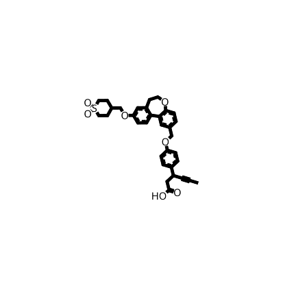 CC#CC(CC(=O)O)c1ccc(OCc2ccc3c(c2)-c2ccc(OCC4CCS(=O)(=O)CC4)cc2CCO3)cc1